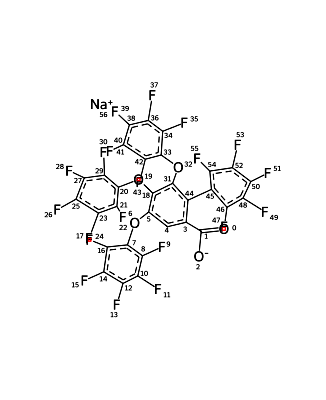 O=C([O-])c1cc(Oc2c(F)c(F)c(F)c(F)c2F)c(Oc2c(F)c(F)c(F)c(F)c2F)c(Oc2c(F)c(F)c(F)c(F)c2F)c1-c1c(F)c(F)c(F)c(F)c1F.[Na+]